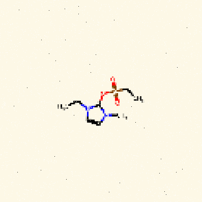 CCN1C=CN(C)C1OS(=O)(=O)CC